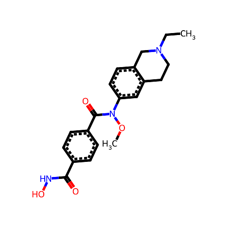 CCN1CCc2cc(N(OC)C(=O)c3ccc(C(=O)NO)cc3)ccc2C1